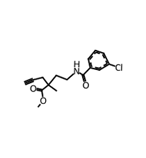 C#CCC(C)(CCNC(=O)c1cccc(Cl)c1)C(=O)OC